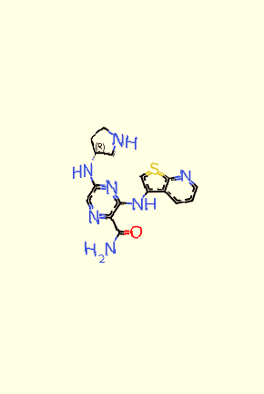 NC(=O)c1ncc(N[C@@H]2CCNC2)nc1Nc1csc2ncccc12